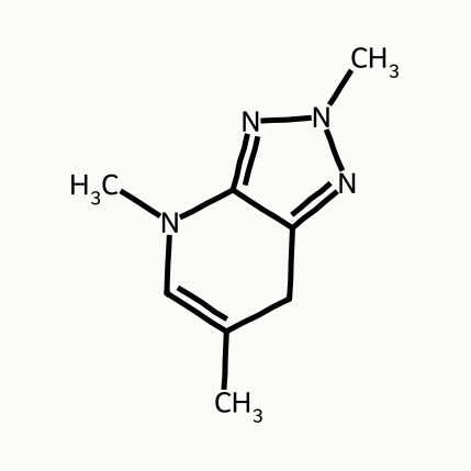 CC1=CN(C)c2nn(C)nc2C1